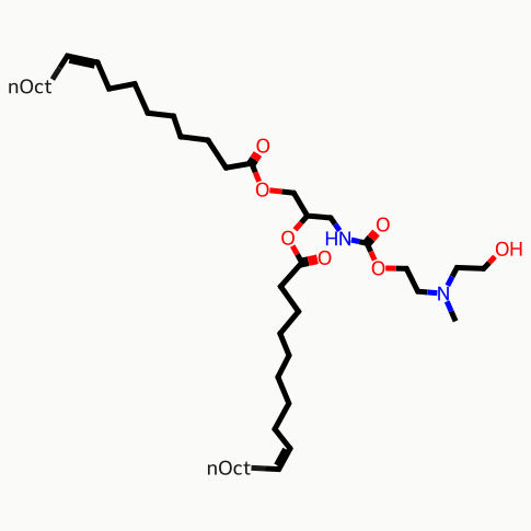 CCCCCCCC/C=C\CCCCCCCC(=O)OCC(CNC(=O)OCCN(C)CCO)OC(=O)CCCCCCC/C=C\CCCCCCCC